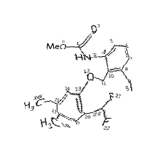 COC(=O)Nc1cccc(I)c1COc1cc(C)c(C)cc1C(F)F